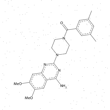 COc1cc2nc(N3CCN(C(=O)c4cc(C)cc(C)c4)CC3)nc(N)c2cc1OC